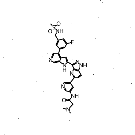 CN(C)CC(=O)Nc1cncc(-c2ccc3[nH]nc(-c4cc5c(-c6cc(F)cc(CNS(C)(=O)=O)c6)cncc5[nH]4)c3n2)c1